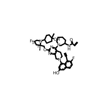 C#Cc1c(F)ccc2cc(O)cc(N3CCc4c(nc(OC[C@]5(C)C[C@@H](F)CN5C5CCC(C)(O)CC5)nc4N4CCCCC(NC(=O)C=C)C4)C3)c12